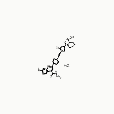 COc1cc2nc(-c3ccc(C#Cc4ccc(C(=O)N5CCCCC5C(=O)O)cc4Cl)cc3)cc(C(=O)NN)c2cn1.Cl